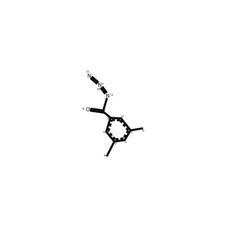 Cc1cc(C)cc(C(=O)N=[N+]=[N-])c1